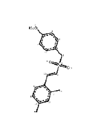 COc1ccc(CS(=O)(=O)C=Cc2ccc(C)cc2C)cc1